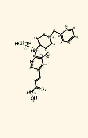 Cl.Cl.Cl.O=C(C=Cc1cnc(NC2CCN(Cc3ccccn3)CC2)c(Cl)c1)NO